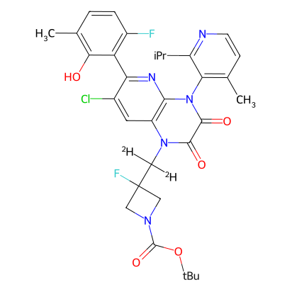 [2H]C([2H])(n1c(=O)c(=O)n(-c2c(C)ccnc2C(C)C)c2nc(-c3c(F)ccc(C)c3O)c(Cl)cc21)C1(F)CN(C(=O)OC(C)(C)C)C1